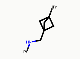 CC(C)NCC12CC(C(C)C)(C1)C2